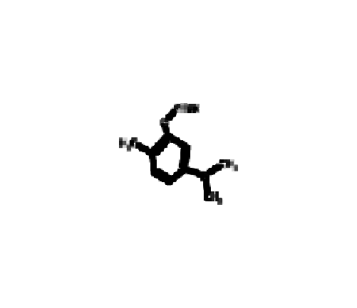 CCCCCCOc1cc(N(C)C)ccc1C